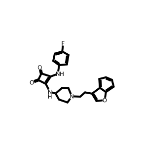 O=c1c(Nc2ccc(F)cc2)c(NC2CCN(CCc3coc4ccccc34)CC2)c1=O